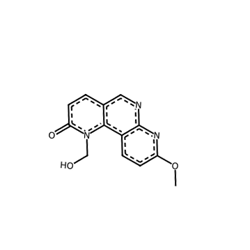 COc1ccc2c(ncc3ccc(=O)n(CO)c32)n1